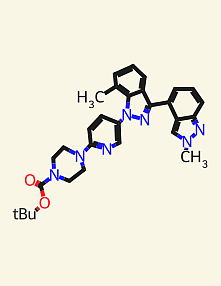 Cc1cccc2c(-c3cccc4nn(C)cc34)nn(-c3ccc(N4CCN(C(=O)OC(C)(C)C)CC4)nc3)c12